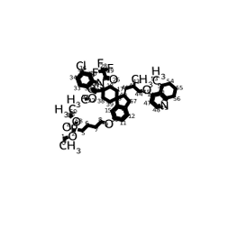 CCOP(=O)(CCCCOc1ccc2c(c1)C1(CCC(C(=O)OC)(N(C(=O)C(F)(F)F)c3cccc(Cl)c3)CC1)[C@@H](C[C@@H](C)COc1ccnc3c1[C@H](C)CCC3)C2)OCC